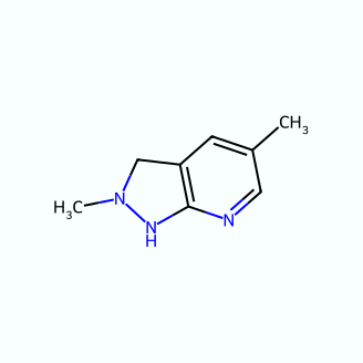 Cc1cnc2c(c1)CN(C)N2